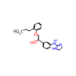 O=C(O)CCc1ccccc1OCC(O)c1cccc(NC2=NCCN2)c1